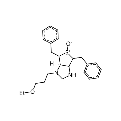 CCOCCCN1CNC2C(Cc3ccccc3)[S+]([O-])C(Cc3ccccc3)[C@@H]21